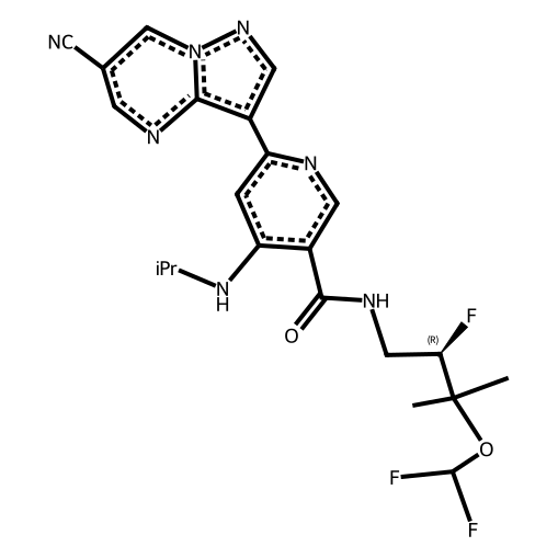 CC(C)Nc1cc(-c2cnn3cc(C#N)cnc23)ncc1C(=O)NC[C@@H](F)C(C)(C)OC(F)F